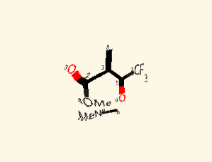 C=C(C(=O)OC)C(=O)C(F)(F)F.CNC